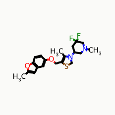 CC1=C(COc2ccc3oc(C)cc3c2)SCN1C1CN(C)CC(F)(F)C1